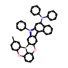 Cc1ccc2c(c1)B1c3cc4c(cc3Oc3cccc(c31)O2)c1c2ccccc2c(N(c2ccccc2)c2ccccc2)cc1n4-c1ccccc1